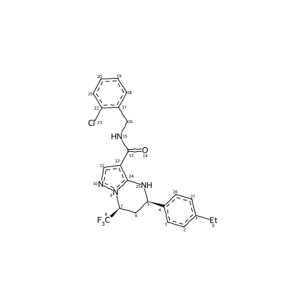 CCc1ccc([C@H]2C[C@@H](C(F)(F)F)n3ncc(C(=O)NCc4ccccc4Cl)c3N2)cc1